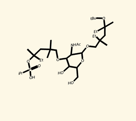 CCC(C)(COC1OC(CO)C(O)C(OCC(C)(C)CC(C)(CC)OP(=O)(O)C(C)C)C1NC(C)=O)CC(C)(CC)OC(C)(C)C